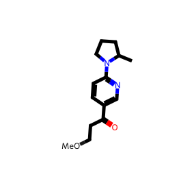 COCCC(=O)c1ccc(N2CCCC2C)nc1